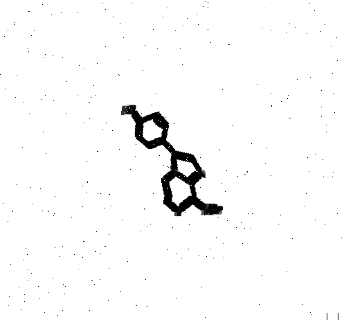 CNc1nccn2c(-c3ccc(O)cc3)cnc12